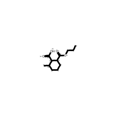 CCCOC(=O)C1CCCC(C)C1C(=O)O